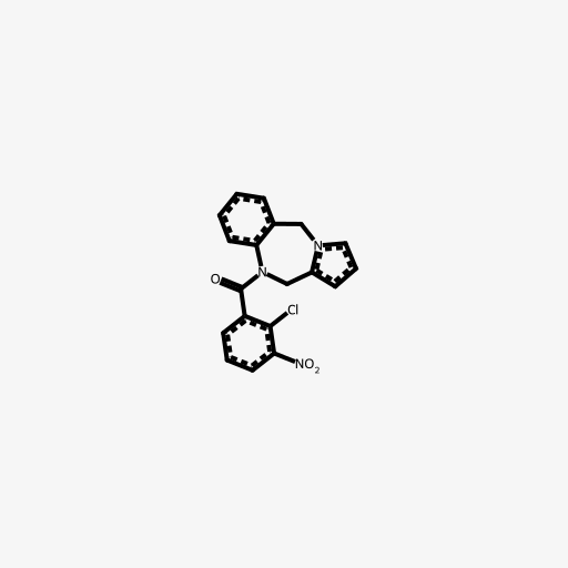 O=C(c1cccc([N+](=O)[O-])c1Cl)N1Cc2cccn2Cc2ccccc21